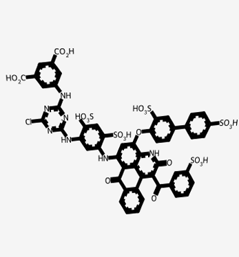 O=C(O)c1cc(Nc2nc(Cl)nc(Nc3cc(Nc4cc(Oc5ccc(-c6ccc(S(=O)(=O)O)cc6)cc5S(=O)(=O)O)c5[nH]c(=O)c(C(=O)c6cccc(S(=O)(=O)O)c6)c6c5c4C(=O)c4ccccc4-6)c(S(=O)(=O)O)cc3S(=O)(=O)O)n2)cc(C(=O)O)c1